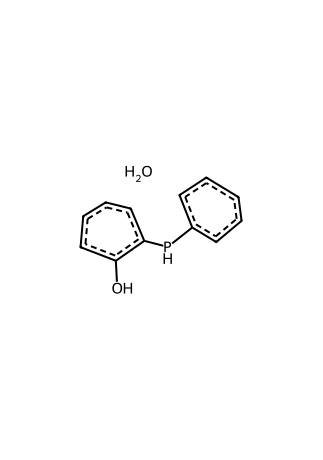 O.Oc1ccccc1Pc1ccccc1